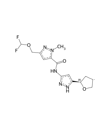 Cn1nc(COC(F)F)cc1C(=O)Nc1cc([C@H]2C[CH]CO2)[nH]n1